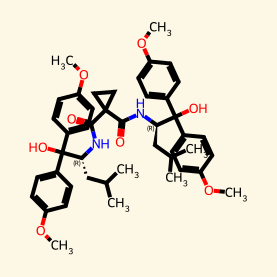 COc1ccc(C(O)(c2ccc(OC)cc2)[C@@H](CC(C)C)NC(=O)C2(C(=O)N[C@H](CC(C)C)C(O)(c3ccc(OC)cc3)c3ccc(OC)cc3)CC2)cc1